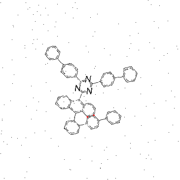 c1ccc(-c2ccc(-c3nc(-c4ccc(-c5ccccc5)cc4)nc(-c4c5ccccc5c(-c5ccccc5-c5ccc(-c6ccccc6)cc5)c5ccccc45)n3)cc2)cc1